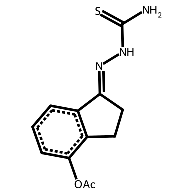 CC(=O)Oc1cccc2c1CCC2=NNC(N)=S